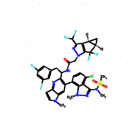 CN(c1nn(C)c2c(-c3cc4c(ccn4C)nc3C(Cc3cc(F)cc(F)c3)NC(=O)Cn3nc(C(F)F)c4c3C(F)(F)[C@@H]3C[C@H]43)ccc(Cl)c12)S(C)(=O)=O